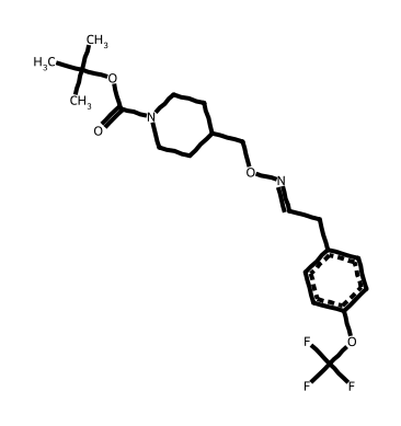 CC(C)(C)OC(=O)N1CCC(CON=CCc2ccc(OC(F)(F)F)cc2)CC1